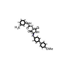 COc1ccc(-c2ccc(/C=C3\NC(=O)N(CC(=O)Nc4cccc(C)c4)C3=O)cc2)cc1